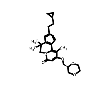 Cc1c(OC[C@@H]2COCCO2)cc(=O)n2c1-c1ccc(CCC3CC3)cc1C(C)(C)C2